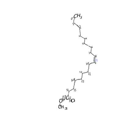 CCCCCCCC/C=C\CCCCCCC[13C](=O)OC